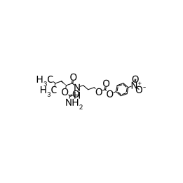 CC(C)C[C@H](OC(N)=O)C(=O)NCCCOC(=O)Oc1ccc([N+](=O)[O-])cc1